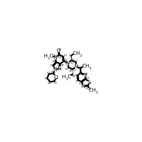 CC[C@H]1CN(C(C)c2ccc3nc(C)sc3n2)[C@H](CC)CN1c1cc(=O)n(C)c2cn(C3CCCCO3)nc12